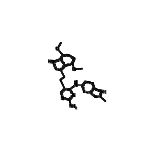 COc1ccc(OC)c2c(CCc3cnc(N)nc3Nc3ccc4[nH]c(C)cc4c3)c[nH]c12